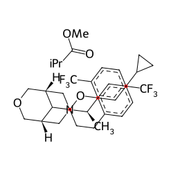 COC(=O)C(C)C.C[C@H](c1cc(C(F)(F)F)ccc1C(F)(F)F)N1C[C@H]2COC[C@@H](C1)C2C1CCc2ccc(C3CC3)cc2O1